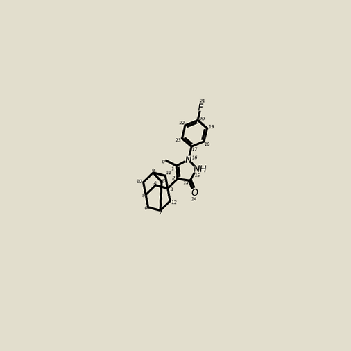 Cc1c(C23CC4CC(CC(C4)C2)C3)c(=O)[nH]n1-c1ccc(F)cc1